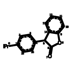 CC(C)c1ccc(C2C(=O)Oc3ccccc32)cc1